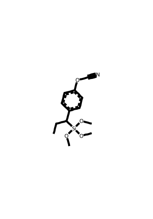 CCC(c1ccc(OC#N)cc1)[Si](OC)(OC)OC